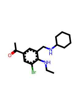 CCNc1c(Br)cc(C(C)=O)cc1CNC1CCCCC1